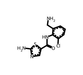 NCc1cccc(Cl)c1NC(=O)c1cnc(N)s1